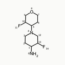 NC1CCN(C2CCOCC2F)CC1F